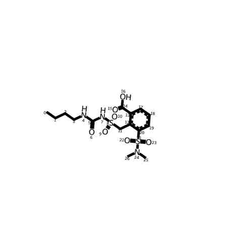 CCCCNC(=O)NS(=O)(=O)Cc1c(C(=O)O)cccc1S(=O)(=O)N(C)C